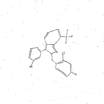 Fc1ccc(Cn2nc3c(C(F)(F)F)cccc3c2-c2cccc(Br)c2)c(Cl)c1